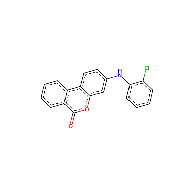 O=c1oc2cc(Nc3ccccc3Cl)ccc2c2ccccc12